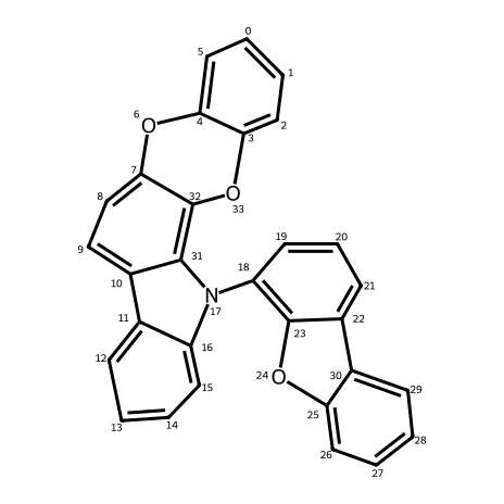 c1ccc2c(c1)Oc1ccc3c4ccccc4n(-c4cccc5c4oc4ccccc45)c3c1O2